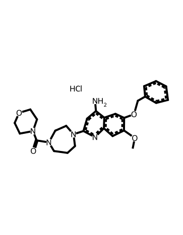 COc1cc2nc(N3CCCN(C(=O)N4CCOCC4)CC3)cc(N)c2cc1OCc1ccccc1.Cl